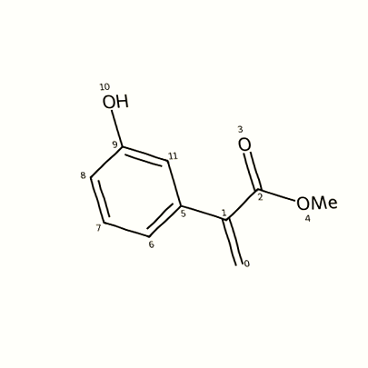 C=C(C(=O)OC)c1cccc(O)c1